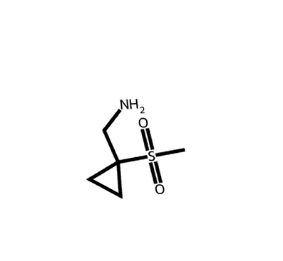 CS(=O)(=O)C1(CN)CC1